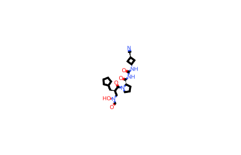 N#C[C@H]1C[C@H](NC(=O)NC(=O)[C@@H]2CCCN2C(=O)[C@H](CC2CCCC2)CN(O)C=O)C1